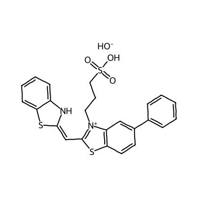 O=S(=O)(O)CCC[n+]1c(C=C2Nc3ccccc3S2)sc2ccc(-c3ccccc3)cc21.[OH-]